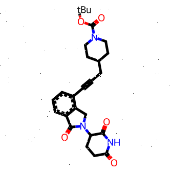 CC(C)(C)OC(=O)N1CCC(CC#Cc2cccc3c2CN(C2CCC(=O)NC2=O)C3=O)CC1